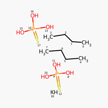 CCCC.CCCC.OP(O)(O)=S.OP(O)(O)=S.[KH]